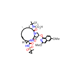 COc1ccc2c(O[C@@H]3C[C@H]4C(=O)N[C@]5(C(=O)NS(=O)(=O)C6(C)CC6)C[C@H]5C=CCC[C@H](C)C[C@@H](C)[C@H](N(C(=O)O)C(C)(C)C(F)(F)F)C(=O)N4C3)nc(OC)cc2c1